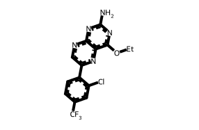 CCOc1nc(N)nc2ncc(-c3ccc(C(F)(F)F)cc3Cl)nc12